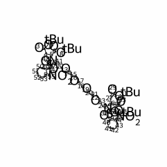 CC(C)(C)OC(=O)CC(C(=O)OC(C)(C)C)N(CCOCCOCCOCCOCCN(C(CC(=O)OC(C)(C)C)C(=O)OC(C)(C)C)S(=O)(=O)c1ccccc1[N+](=O)[O-])S(=O)(=O)c1ccccc1[N+](=O)[O-]